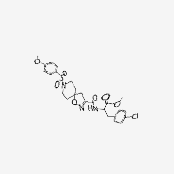 COC(=O)C(Cc1ccc(Cl)cc1)NC(=O)C1=NOC2(CCN(S(=O)(=O)c3ccc(OC)cc3)CC2)C1